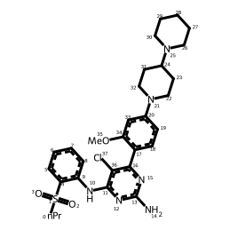 CCCS(=O)(=O)c1ccccc1Nc1nc(N)nc(-c2ccc(N3CCC(N4CCCCC4)CC3)cc2OC)c1Cl